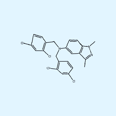 Cc1nn(C)c2ccc(N(Cc3ccc(Cl)cc3Cl)Cc3ccc(Cl)cc3Cl)cc12